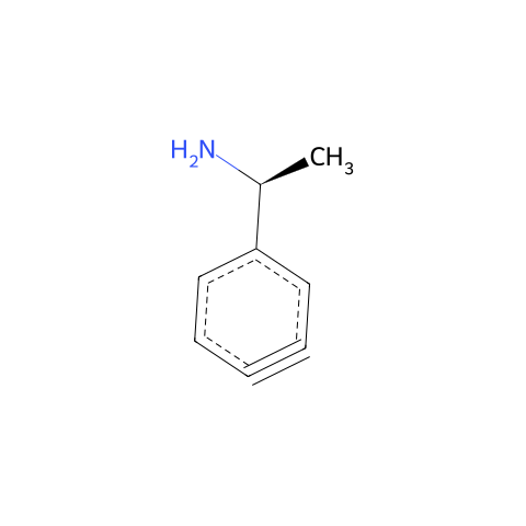 C[C@H](N)c1cc#ccc1